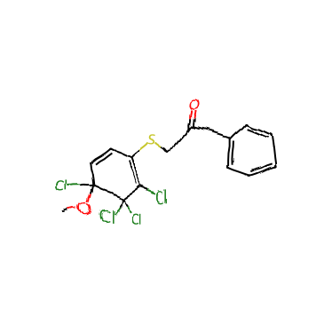 COC1(Cl)C=CC(SCC(=O)c2ccccc2)=C(Cl)C1(Cl)Cl